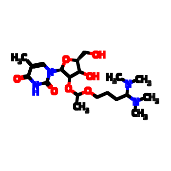 Cc1cn([C@H]2O[C@@H](CO)C(O)C2OC(C)OCCCC(N(C)C)N(C)C)c(=O)[nH]c1=O